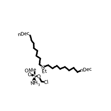 CCCCCCCCCCCCCCCCCCN(CC)CCCCCCCCCCCCCCCCCC.COS(=O)(=O)OCCl.N